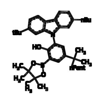 CCCCCC(C)(C)c1cc(B2OC(C)(C)C(C)(C)O2)c(O)c(-n2c3cc(CCCC)ccc3c3ccc(C(C)(C)C)cc32)c1